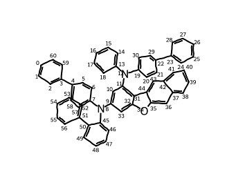 c1ccc(-c2ccc(N(c3cc(N(c4ccccc4)c4ccc(-c5ccccc5)cc4)c4c(c3)oc3cc5ccccc5cc34)c3ccccc3-c3ccccc3)cc2)cc1